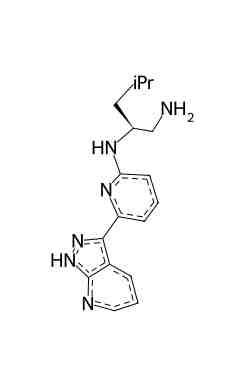 CC(C)C[C@@H](CN)Nc1cccc(-c2n[nH]c3ncccc23)n1